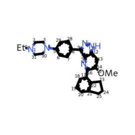 CCN1CCN(c2ccc(-c3n[nH]c4cc(OC)c(-c5cccc6c5CCC6)nc34)cc2)CC1